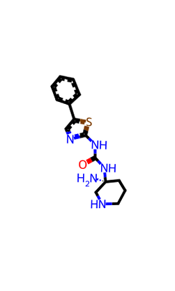 N[C@]1(NC(=O)Nc2ncc(-c3ccccc3)s2)CCCNC1